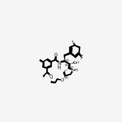 CCCO[C@H]1CN[C@@H]([C@@H](O)[C@H](Cc2cc(F)cc(F)c2)NC(=O)c2cc(C)cc(C(C)=O)c2)C1